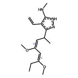 C=Cc1c(C(C)/C=C(\C=C(/CC)OC)OC)n[nH]c1NC